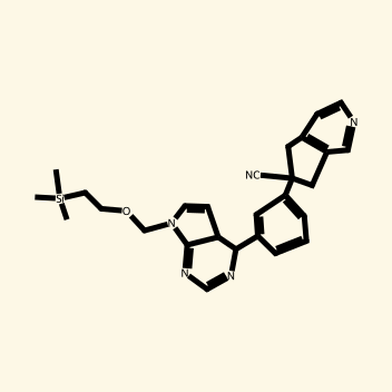 C[Si](C)(C)CCOCN1C=CC2C1=NC=NC2c1cccc(C2(C#N)Cc3ccncc3C2)c1